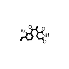 C=Cc1cccc(C(=O)C(=C)C2CCC(=O)NC2=O)c1C(C)=O